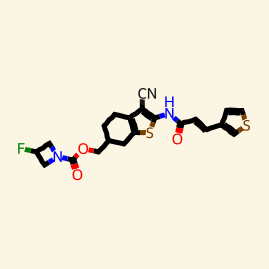 N#Cc1c(NC(=O)C=Cc2ccsc2)sc2c1CCC(COC(=O)N1CC(F)C1)C2